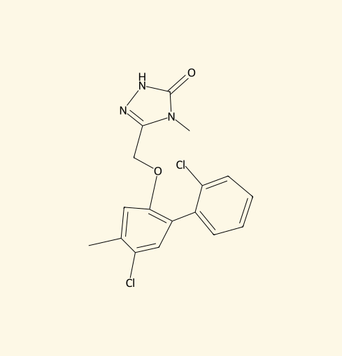 Cc1cc(OCc2n[nH]c(=O)n2C)c(-c2ccccc2Cl)cc1Cl